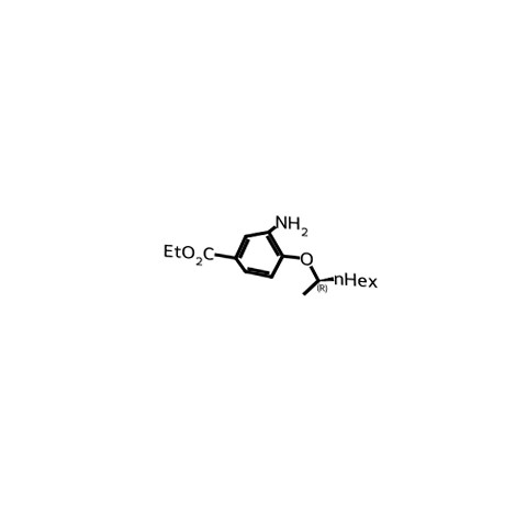 CCCCCC[C@@H](C)Oc1ccc(C(=O)OCC)cc1N